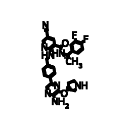 C[C@H](NC(=O)c1cc(C#N)cnc1NCc1ccc(-c2cnc(N)c(O[C@H]3CCNC3)n2)cc1)c1ccc(F)c(F)c1